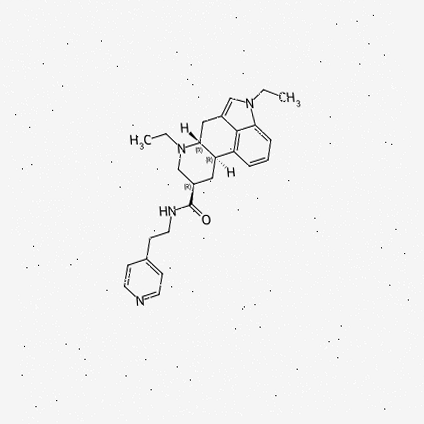 CCN1C[C@H](C(=O)NCCc2ccncc2)C[C@@H]2c3cccc4c3c(cn4CC)C[C@H]21